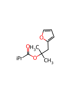 CC(C)C(=O)OC(C)(C)Cc1ccco1